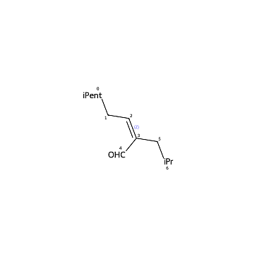 CCCC(C)C/C=C(\C=O)CC(C)C